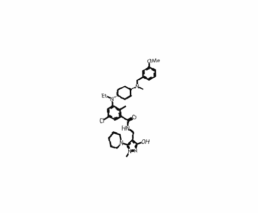 CCN(c1cc(Cl)cc(C(=O)NCc2c(O)nn(C)c2N2CCCCC2)c1C)[C@H]1CC[C@H](N(C)Cc2cccc(OC)c2)CC1